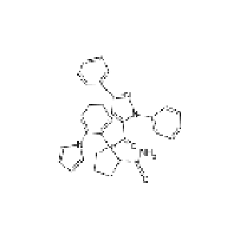 NC(=O)[C@@H]1CCC[N+]1(C(=O)c1cc(-c2ccccc2)nn1-c1ccccc1)c1ccccc1-n1cccc1